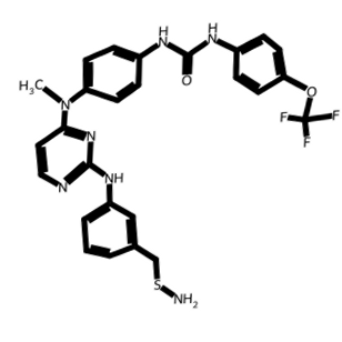 CN(c1ccc(NC(=O)Nc2ccc(OC(F)(F)F)cc2)cc1)c1ccnc(Nc2cccc(CSN)c2)n1